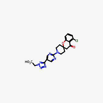 O=C(O)Cn1nnc(-c2cnc(N3CCC4(CC3)CC(=O)c3c(Cl)cccc3O4)nc2)n1